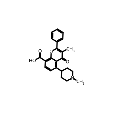 Cc1c(-c2ccccc2)oc2c(C(=O)O)ccc(C3CCN(C)CC3)c2c1=O